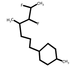 CC1CCC(CCCC(C)C(F)C(C)F)CC1